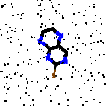 [S]c1ncc2nccnc2n1